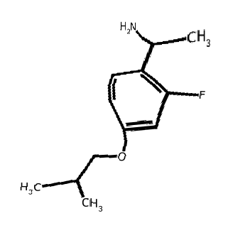 CC(C)COc1ccc(C(C)N)c(F)c1